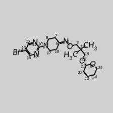 CC(C)(CON=C1CCN(c2ncc(Br)cn2)CC1)COC1CCCCO1